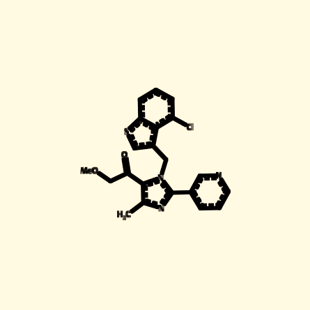 COCC(=O)c1c(C)nc(-c2cccnc2)n1Cc1csc2cccc(Cl)c12